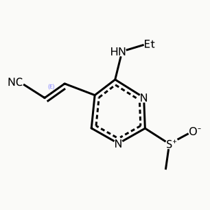 CCNc1nc([S+](C)[O-])ncc1/C=C/C#N